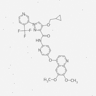 COc1cc2nccc(Oc3ccc(NC(=O)c4nn(-c5cnccc5C(F)(F)F)cc4OCC4CC4)nc3)c2cc1OC